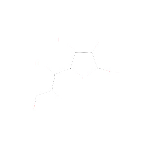 OCC(O)C(O)C1OC(O)C(O)C1O